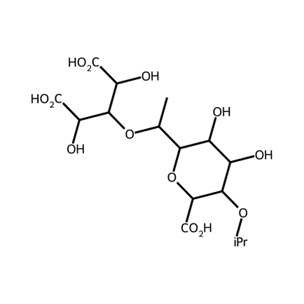 CC(C)OC1C(C(=O)O)OC(C(C)OC(C(O)C(=O)O)C(O)C(=O)O)C(O)C1O